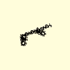 CCCOCCOCC(C)(C)N(OC1CCCCC1)C(C)(C)CCOCCCOC1CC(C)(C)N(OC2CCCCC2)C(C)(C)C1